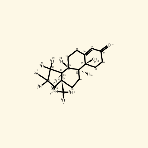 [2H]C1([2H])C(=O)[C@@]2(C([2H])([2H])[2H])CC[C@@H]3[C@@]4(C)CCC(=O)C=C4CC[C@@]3([2H])[C@]2([2H])C1([2H])[2H]